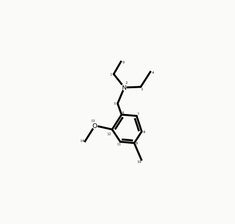 CCN(CC)Cc1ccc(C)cc1OC